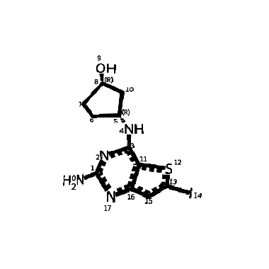 Nc1nc(N[C@@H]2CC[C@@H](O)C2)c2sc(I)cc2n1